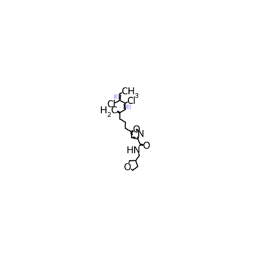 C=C(/C=C(Cl)\C(Cl)=C/C)CCCc1cc(C(=O)NCC2CCOC2)no1